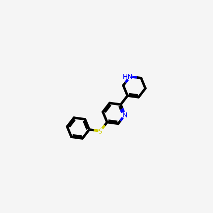 C1=C(c2ccc(Sc3ccccc3)cn2)CNCC1